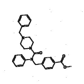 COC(=O)c1ccc(CN(C(=O)N2CCN(Cc3ccccc3)CC2)c2ccccc2)cc1